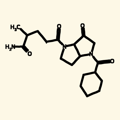 CC(C[CH]C(=O)N1CCC2C1C(=O)CN2C(=O)C1CCCCC1)C(N)=O